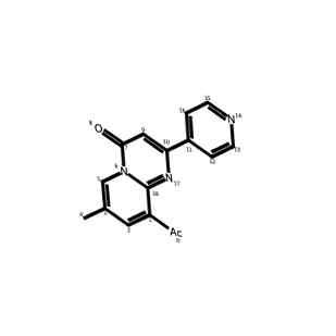 CC(=O)c1cc(C)cn2c(=O)cc(-c3ccncc3)nc12